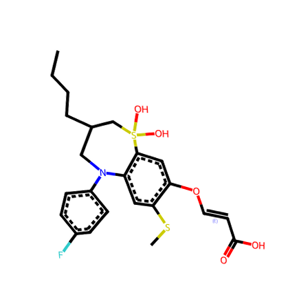 CCCCC1CN(c2ccc(F)cc2)c2cc(SC)c(O/C=C/C(=O)O)cc2S(O)(O)C1